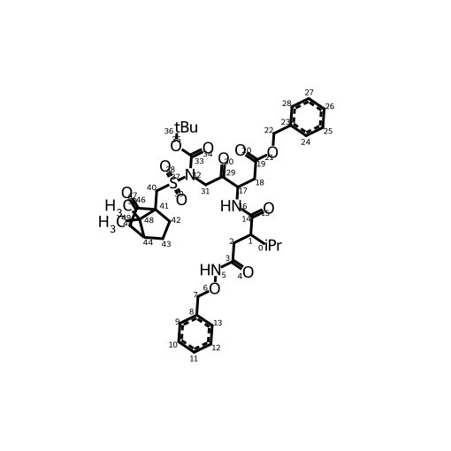 CC(C)C(CC(=O)NOCc1ccccc1)C(=O)NC(CC(=O)OCc1ccccc1)C(=O)CN(C(=O)OC(C)(C)C)S(=O)(=O)CC12CCC(CC1=O)C2(C)C